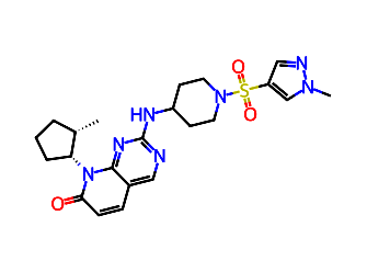 C[C@H]1CCC[C@H]1n1c(=O)ccc2cnc(NC3CCN(S(=O)(=O)c4cnn(C)c4)CC3)nc21